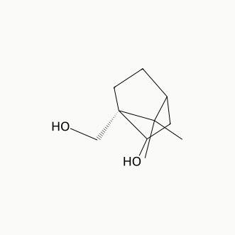 CC1(C)C2CC[C@]1(CO)C(O)C2